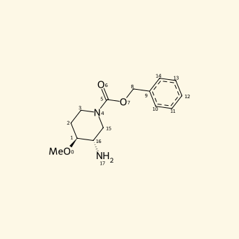 CO[C@H]1CCN(C(=O)OCc2ccccc2)C[C@@H]1N